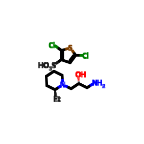 CC[C@H]1CCCCN1C[C@H](O)CN.O=S(=O)(O)c1cc(Cl)sc1Cl